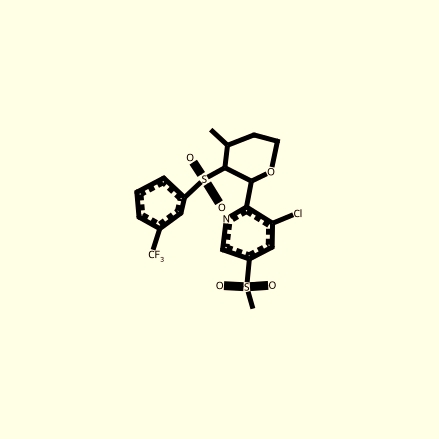 CC1CCOC(c2ncc(S(C)(=O)=O)cc2Cl)C1S(=O)(=O)c1cccc(C(F)(F)F)c1